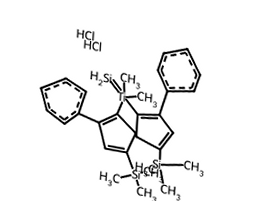 C[Si](C)(C)C1=CC(c2ccccc2)=[C]([Ti]([CH3])([CH3])(=[SiH2])[C]2=C(c3ccccc3)C=C([Si](C)(C)C)C2)C1.Cl.Cl